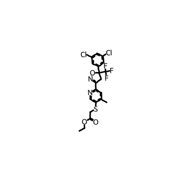 CCOC(=O)CSc1cnc(C2=NOC(c3cc(Cl)cc(Cl)c3)(C(F)(F)F)C2)cc1C